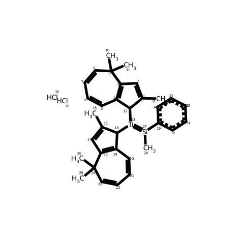 CC1=CC2=C(C=CC=CC2(C)C)[CH]1[Ti]([CH]1C(C)=CC2=C1C=CC=CC2(C)C)=[Si](C)c1ccccc1.Cl.Cl